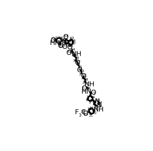 O=C(CNC(=O)c1cccc(-c2cc(Nc3ccc(OC(F)(F)F)cc3)ncn2)c1)NCCCOCCOCCOCCCNC(=O)COc1cccc2c1C(=O)N(C1CCC(=O)NC1=O)C2=O